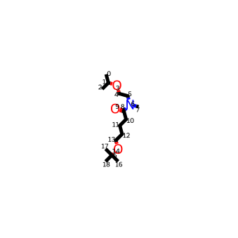 CC(C)OCCN(C)C(=O)CCCCOC(C)(C)C